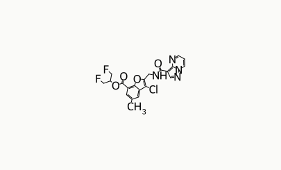 Cc1cc(C(=O)OC(CF)CF)c2oc(CNC(=O)c3cnn4cccnc34)c(Cl)c2c1